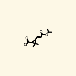 CC(C)OC(=O)C=CC1C(C(=O)Cl)C1(C)C